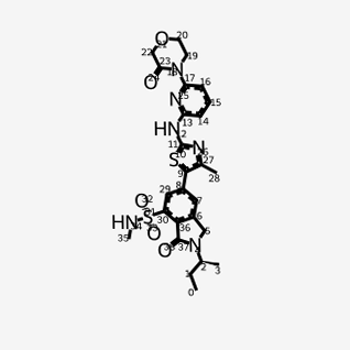 CC[C@H](C)N1Cc2cc(-c3sc(Nc4cccc(N5CCOCC5=O)n4)nc3C)cc(S(=O)(=O)NC)c2C1=O